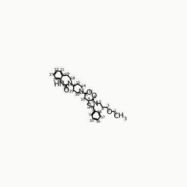 CCOCCCN1C(=O)C(CC(=O)N2CCC(N3CCc4ccccc4NC3=O)CC2)SC1c1ccccc1